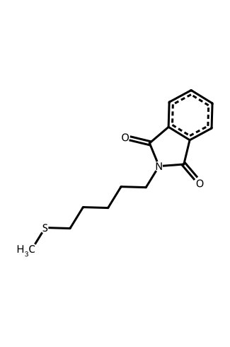 CSCCCCCN1C(=O)c2ccccc2C1=O